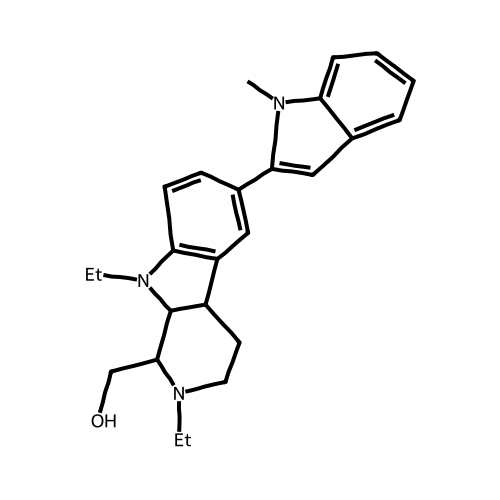 CCN1CCC2c3cc(-c4cc5ccccc5n4C)ccc3N(CC)C2C1CO